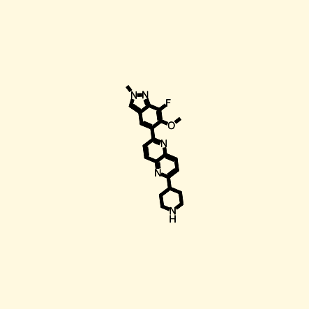 COc1c(-c2ccc3nc(C4CCNCC4)ccc3n2)cc2cn(C)nc2c1F